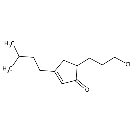 CC(C)CCC1=CC(=O)C(CCCCl)C1